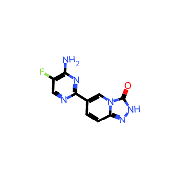 Nc1nc(-c2ccc3n[nH]c(=O)n3c2)ncc1F